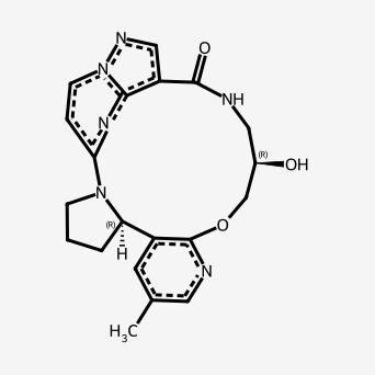 Cc1cnc2c(c1)[C@H]1CCCN1c1ccn3ncc(c3n1)C(=O)NC[C@@H](O)CO2